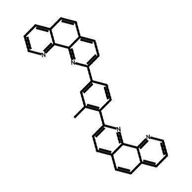 Cc1cc(-c2ccc3ccc4cccnc4c3n2)ccc1-c1ccc2ccc3cccnc3c2n1